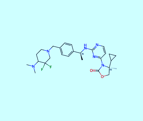 C[C@H](Nc1nccc(N2C(=O)OC[C@]2(C)C2CC2)n1)c1ccc(CN2CCC(N(C)C)C(F)(F)C2)cc1